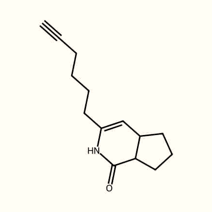 C#CCCCCC1=CC2CCCC2C(=O)N1